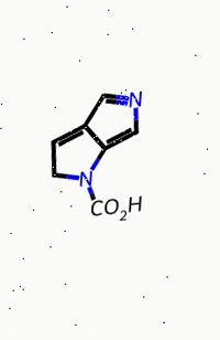 O=C(O)N1CC=C2C=NC=C21